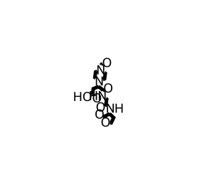 O=CN1CCN(C(CC(=O)O)C(=O)NCC(=O)NC2CCOC2=O)CC1